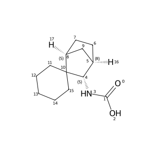 O=C(O)N[C@H]1[C@@H]2CC[C@@H](C2)C12CCCCC2